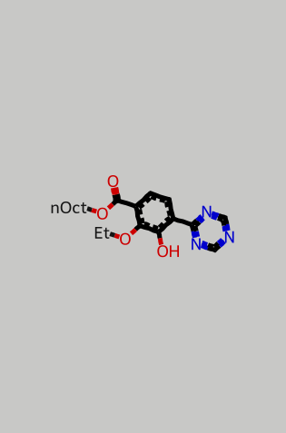 CCCCCCCCOC(=O)c1ccc(-c2ncncn2)c(O)c1OCC